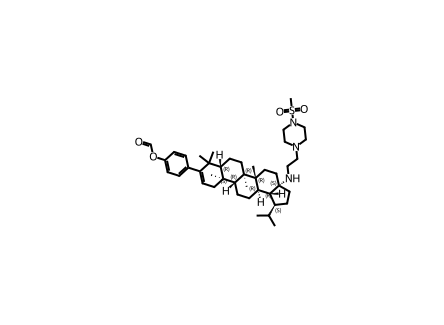 CC(C)[C@@H]1CC[C@]2(NCCN3CCN(S(C)(=O)=O)CC3)CC[C@]3(C)[C@H](CC[C@@H]4[C@@]5(C)CC=C(c6ccc(OC=O)cc6)C(C)(C)[C@@H]5CC[C@]43C)[C@@H]12